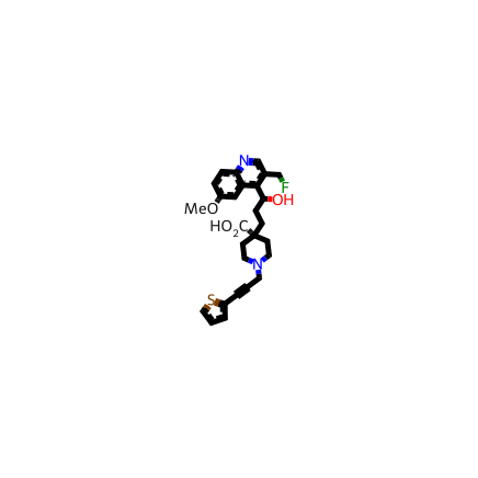 COc1ccc2ncc(CF)c(C(O)CCC3(C(=O)O)CCN(CC#Cc4cccs4)CC3)c2c1